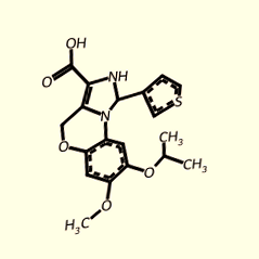 COc1cc2c(cc1OC(C)C)N1C(=C(C(=O)O)NC1c1ccsc1)CO2